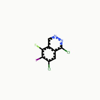 Fc1c(I)c(Cl)cc2c(Cl)nncc12